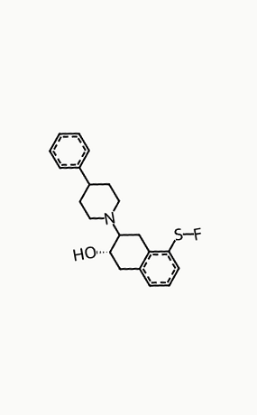 O[C@H]1Cc2cccc(SF)c2CC1N1CCC(c2ccccc2)CC1